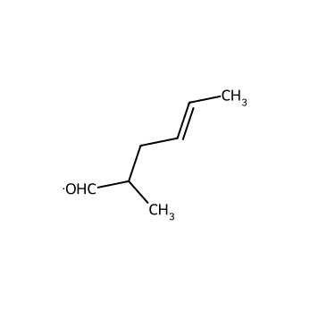 CC=CCC(C)[C]=O